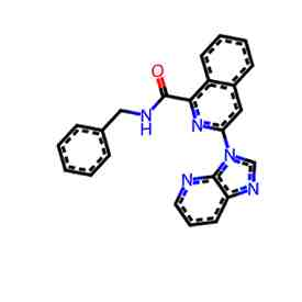 O=C(NCc1ccccc1)c1nc(-n2cnc3cccnc32)cc2ccccc12